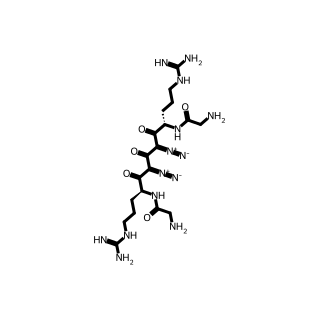 [N-]=[N+]=C(C(=O)C(=[N+]=[N-])C(=O)[C@H](CCCNC(=N)N)NC(=O)CN)C(=O)[C@H](CCCNC(=N)N)NC(=O)CN